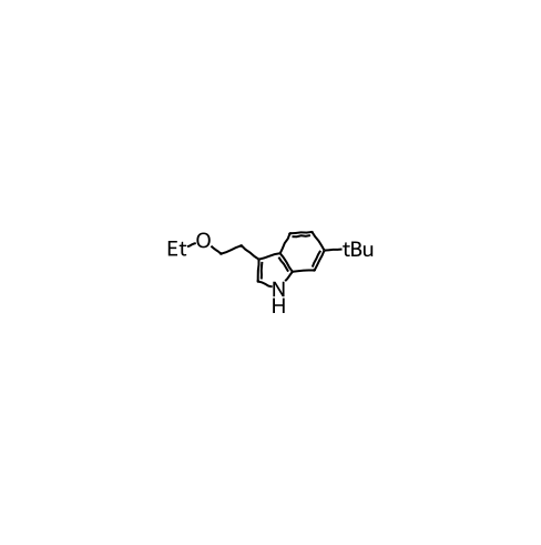 CCOCCc1c[nH]c2cc(C(C)(C)C)ccc12